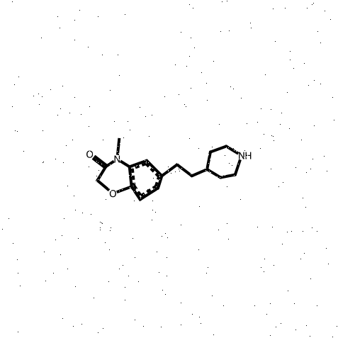 CN1C(=O)COc2ccc(CCC3CCNCC3)cc21